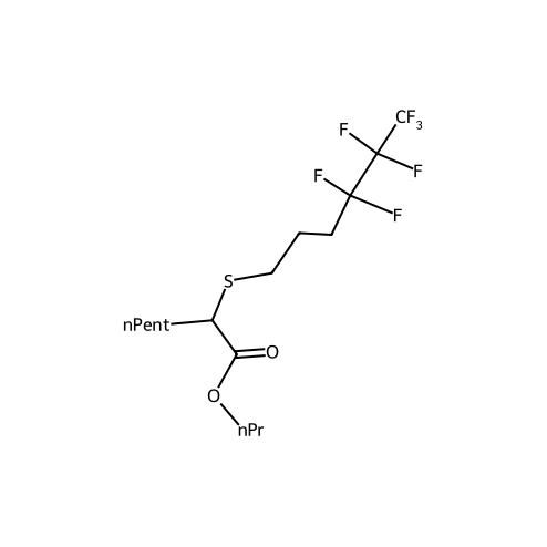 CCCCCC(SCCCC(F)(F)C(F)(F)C(F)(F)F)C(=O)OCCC